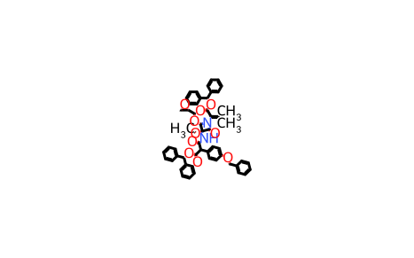 COC1(NC(=O)C(C(=O)OC(c2ccccc2)c2ccccc2)c2ccc(OCc3ccccc3)cc2)C(=O)N(C(C(=O)OC(c2ccccc2)c2ccccc2)=C(C)C)C1OCC1CO1